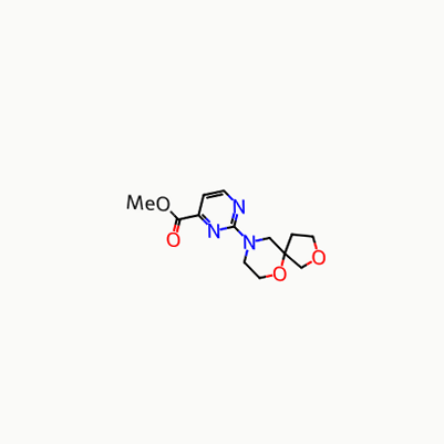 COC(=O)c1ccnc(N2CCOC3(CCOC3)C2)n1